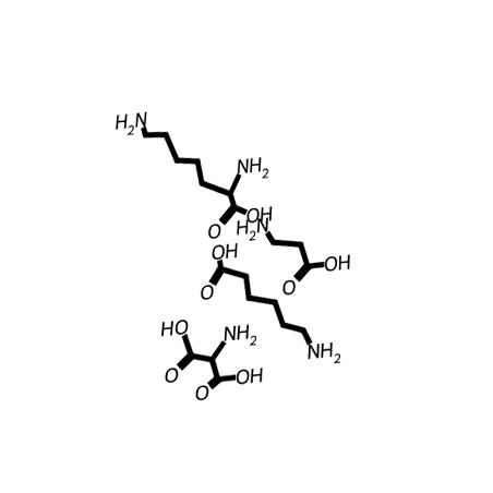 NC(C(=O)O)C(=O)O.NCCC(=O)O.NCCCCCC(=O)O.NCCCCCC(N)C(=O)O